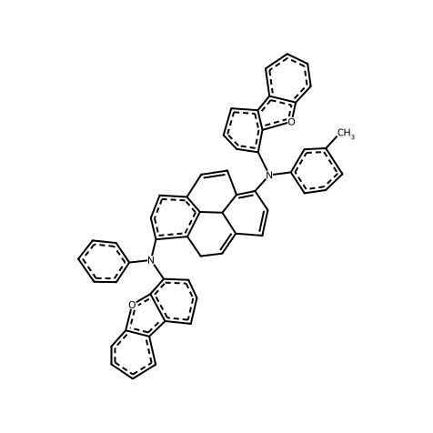 Cc1cccc(N(C2=C3C=Cc4ccc(N(c5ccccc5)c5cccc6c5oc5ccccc56)c5c4C3C(=CC5)C=C2)c2cccc3c2oc2ccccc23)c1